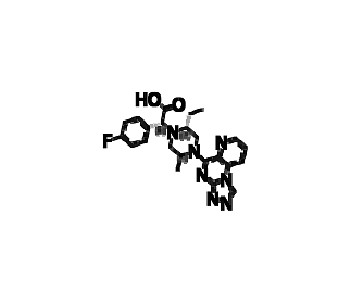 CC[C@@H]1CN(c2nc3nncn3c3cccnc23)[C@@H](C)CN1[C@@H](C(=O)O)c1ccc(F)cc1